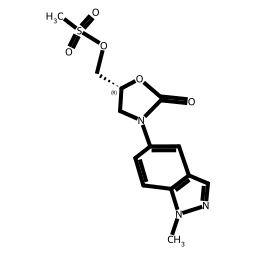 Cn1ncc2cc(N3C[C@H](COS(C)(=O)=O)OC3=O)ccc21